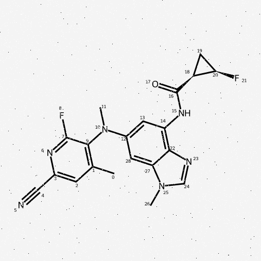 Cc1cc(C#N)nc(F)c1N(C)c1cc(NC(=O)[C@H]2C[C@H]2F)c2ncn(C)c2c1